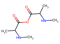 CNC(C)C(=O)OC(=O)C(C)NC